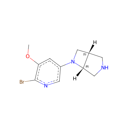 COc1cc(N2C[C@@H]3CNC[C@@H]32)cnc1Br